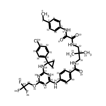 CCc1ccc(NC(=O)C(=O)NCC(C)(C)CNC(=O)c2ccc(Nc3nc(NC4(c5ccc(Cl)cc5)CC4)nc(OCC(F)(F)F)n3)cc2)cc1